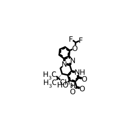 CC(C)(C)[C@@H]1Cn2c(nc3c(OC(F)F)cccc32)-c2[nH]c(=O)c(C(=O)O)c(O)c21